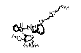 OCCNCCCOc1cccc(CNc2nc3ccccc3n2[C@@H]2O[C@H](CO)[C@@H](O)[C@H]2O)c1